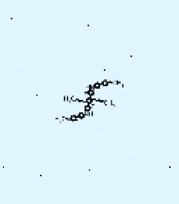 CCCCCCc1cc(-c2ccc(Nc3ccc(-c4ccc(CCC)cc4)cc3)cc2F)c(CCCCCC)cc1-c1ccc(Nc2ccc(-c3ccc(CCC)cc3)cc2)cc1F